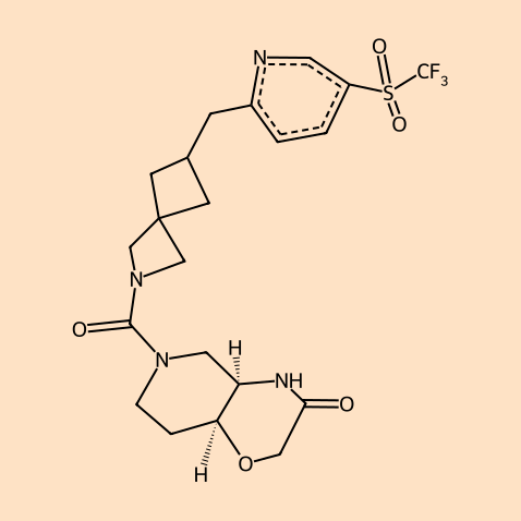 O=C1CO[C@H]2CCN(C(=O)N3CC4(CC(Cc5ccc(S(=O)(=O)C(F)(F)F)cn5)C4)C3)C[C@H]2N1